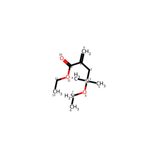 C=C(C[Si](C)(C)O[SiH2]C)C(=O)OCC